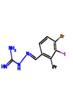 CC(C)c1c(C=NNC(=N)N)ccc(Br)c1I